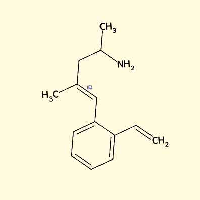 C=Cc1ccccc1/C=C(\C)CC(C)N